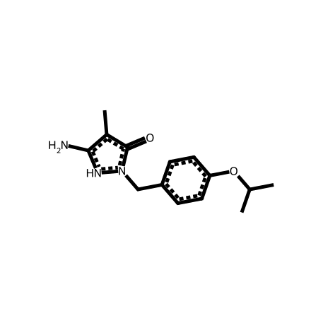 Cc1c(N)[nH]n(Cc2ccc(OC(C)C)cc2)c1=O